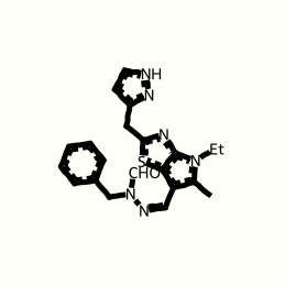 CCn1c(C)c(/C=N\N(C=O)Cc2ccccc2)c2sc(Cc3cc[nH]n3)nc21